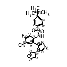 CC(C)(C)c1ccc(S(=O)(=O)Nc2cc(F)c(Cl)cc2-c2nncn2[C@@H]2CCOC2)cc1